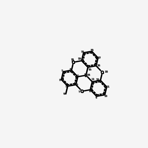 Cc1ccc2c3c1Oc1cccc4c1B3c1c(cccc1O2)O4